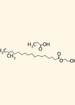 CC(C)CCCCCCCCCCCCCCC(=O)OCCO.CCC(=O)O